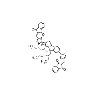 CCCCC(CC)CC1(CC(CC)CCCC)c2cc(-c3ccc(C=C4C(=O)c5ccccc5C4=O)s3)ccc2-c2ccc(-c3ccc(C=C4C(=O)c5ccccc5C4=O)s3)cc21